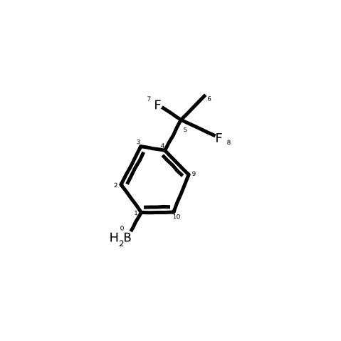 Bc1ccc(C(C)(F)F)cc1